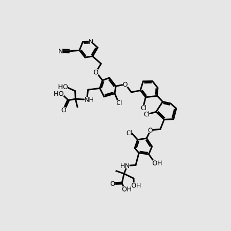 CC(CO)(NCc1cc(Cl)c(OCc2cccc(-c3cccc(COc4cc(OCc5cncc(C#N)c5)c(CNC(C)(CO)C(=O)O)cc4Cl)c3Cl)c2Cl)cc1O)C(=O)O